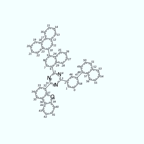 c1cc(-c2nc(-c3ccc(-c4cc5ccccc5c5ccccc45)c4ccccc34)nc(-c3cccc4c3oc3ccccc34)n2)cc(-c2cccc3ccccc23)c1